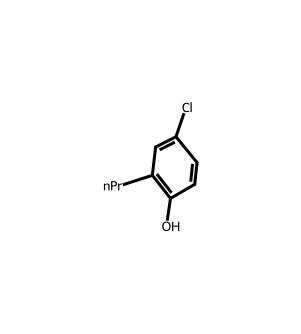 [CH2]CCc1cc(Cl)ccc1O